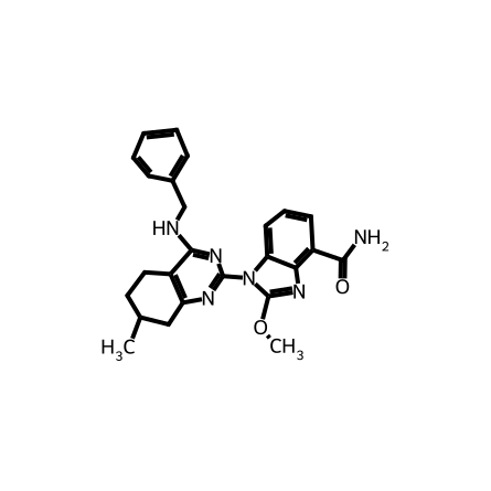 COc1nc2c(C(N)=O)cccc2n1-c1nc2c(c(NCc3ccccc3)n1)CCC(C)C2